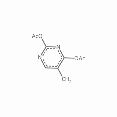 [CH2]c1cnc(OC(C)=O)nc1OC(C)=O